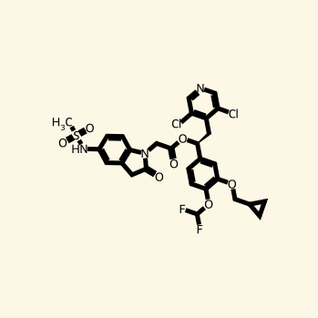 CS(=O)(=O)Nc1ccc2c(c1)CC(=O)N2CC(=O)O[C@@H](Cc1c(Cl)cncc1Cl)c1ccc(OC(F)F)c(OCC2CC2)c1